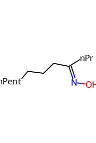 CCCCCCCCC(CCC)=NO